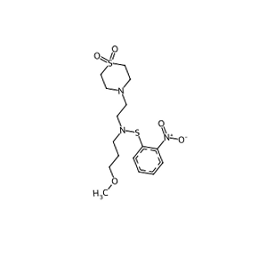 COCCCN(CCN1CCS(=O)(=O)CC1)Sc1ccccc1[N+](=O)[O-]